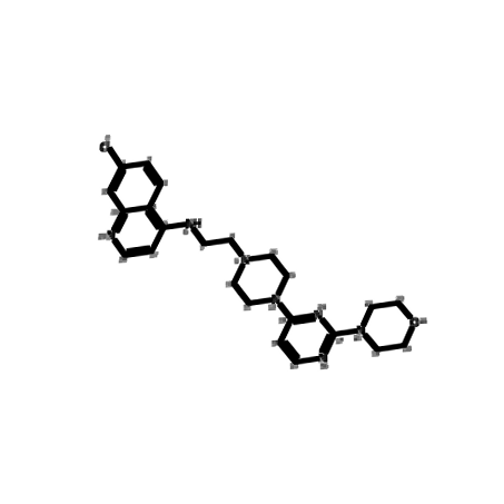 Clc1ccc2c(NCCN3CCN(c4ccnc(N5CCOCC5)n4)CC3)ccnc2c1